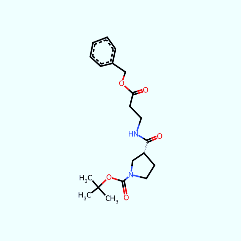 CC(C)(C)OC(=O)N1CC[C@@H](C(=O)NCCC(=O)OCc2ccccc2)C1